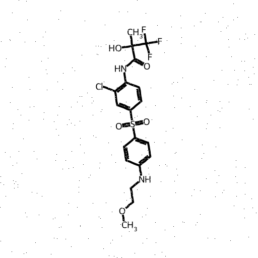 COCCNc1ccc(S(=O)(=O)c2ccc(NC(=O)C(C)(O)C(F)(F)F)c(Cl)c2)cc1